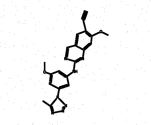 C#Cc1cc2cnc(Nc3cc(OC)cc(-n4nnnc4C)c3)nc2cc1OC